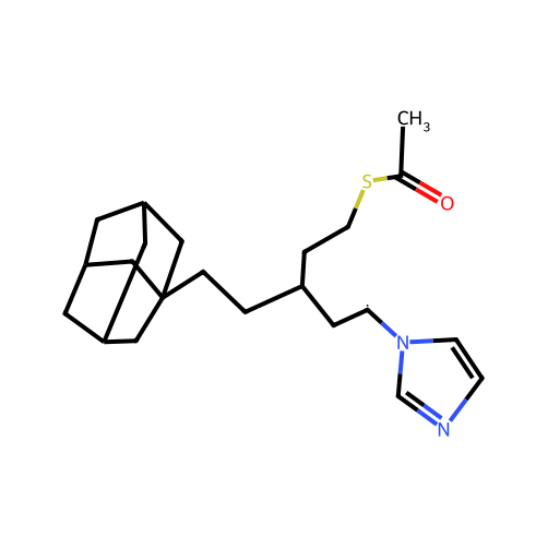 CC(=O)SCCC(C[CH]n1ccnc1)CCC12CC3CC(CC(C3)C1)C2